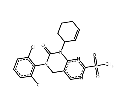 CS(=O)(=O)c1ncc2c(n1)N(C1C=CCCC1)C(=O)N(c1c(Cl)cccc1Cl)C2